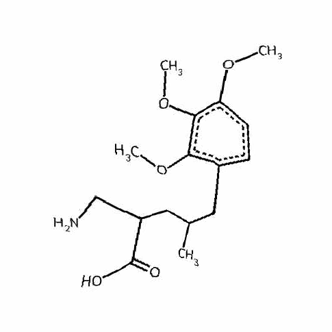 COc1ccc(CC(C)CC(CN)C(=O)O)c(OC)c1OC